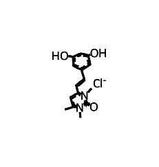 Cc1cc(/C=C/c2cc(O)cc(O)c2)n(C)c(=O)[n+]1C.[Cl-]